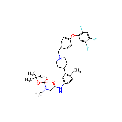 Cc1ccc(NC(=O)CN(C)C(=O)OC(C)(C)C)cc1C1CCN(Cc2ccc(Oc3cc(F)c(F)cc3F)cc2)CC1